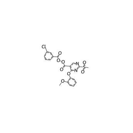 COc1ccccc1Oc1nc(S(C)(=O)=O)ncc1C(=O)OOC(=O)c1cccc(Cl)c1